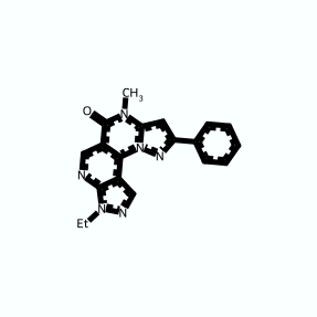 CCn1ncc2c1ncc1c(=O)n(C)c3cc(-c4ccccc4)nn3c12